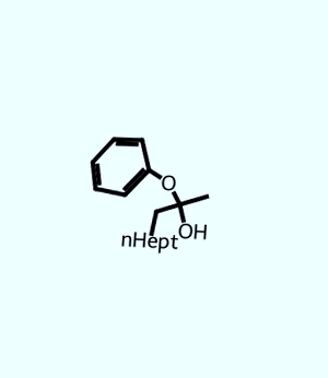 CCCCCCCCC(C)(O)Oc1ccccc1